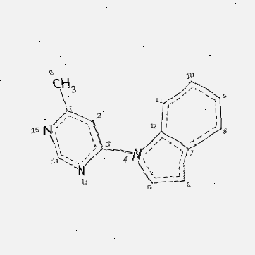 Cc1cc(-n2ccc3ccccc32)ncn1